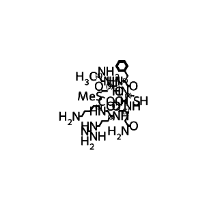 CSCC[C@H](NC(=O)[C@H](C)N)C(=O)N[C@@H](Cc1ccccc1)C(=O)N[C@@H](CS)C(=O)N[C@@H](CCC(N)=O)C(=O)N[C@@H](CCCNC(=N)N)C(=O)N[C@@H](CCCCN)C(=O)O